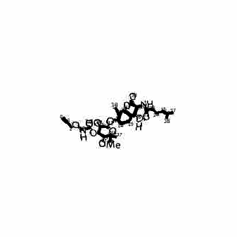 C#CCONC(=O)O[C@@H]1[C@@H](O)[C@H](Oc2ccc3c(O)c(NC(=O)CCC=C(C)C)c(=O)oc3c2C)OC(C)(C)[C@@H]1OC